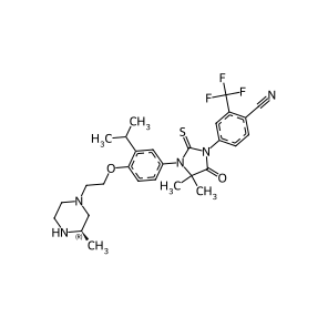 CC(C)c1cc(N2C(=S)N(c3ccc(C#N)c(C(F)(F)F)c3)C(=O)C2(C)C)ccc1OCCN1CCN[C@H](C)C1